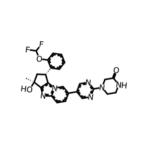 C[C@]1(O)C[C@H](c2ccccc2OC(F)F)c2c1nc1ccc(-c3cnc(N4CCNC(=O)C4)nc3)cn21